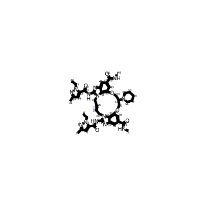 CCn1nc(C)cc1C(=O)Nc1nc2cc(C(=O)NC)cc3c2n1C/C=C/Cn1c(NC(=O)c2cc(C)nn2CC)nc2cc(C(=O)NI)cc(c21)OCC(N1CCCCC1)CO3